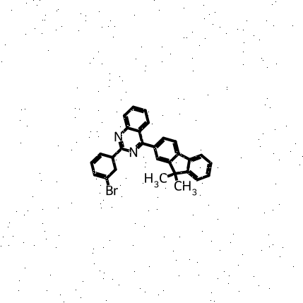 CC1(C)c2ccccc2-c2ccc(-c3nc(C4C=CC=C(Br)C4)nc4ccccc34)cc21